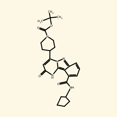 CC(C)(C)OC(=O)N1CCC(c2cc(=O)[nH]c3c4c(C(=O)NC5CCCC5)cccc4nn23)CC1